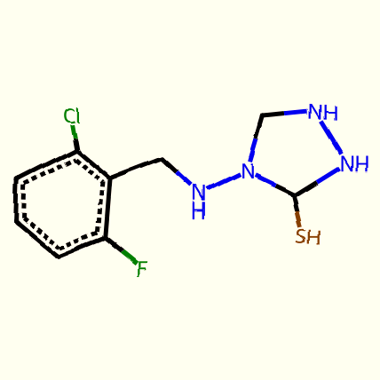 Fc1cccc(Cl)c1CNN1CNNC1S